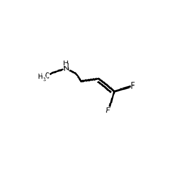 CNCC=C(F)F